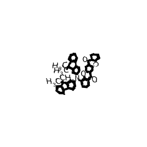 CC1(C)c2ccccc2-c2ccc(N(c3ccc4c(c3)C(C)(C)c3ccccc3-4)c3cccc4c(=O)c5cc6oc7ccccc7c(=O)c6cc5oc34)cc21